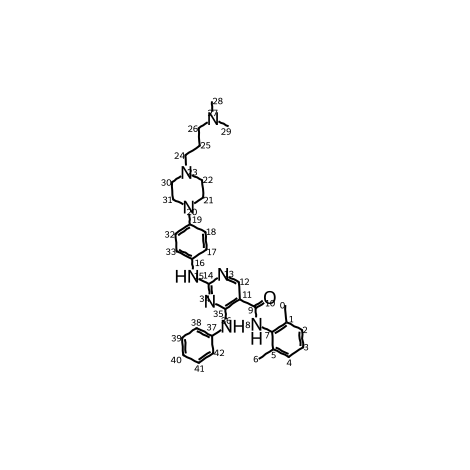 Cc1cccc(C)c1NC(=O)c1cnc(Nc2ccc(N3CCN(CCCN(C)C)CC3)cc2)nc1Nc1ccccc1